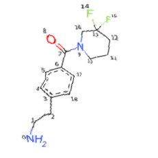 NCCc1ccc(C(=O)N2CCCC(F)(F)C2)cc1